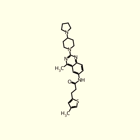 Cc1csc(CCC(=O)Nc2ccc3nc(N4CCC(N5CCCC5)CC4)nc(C)c3c2)c1